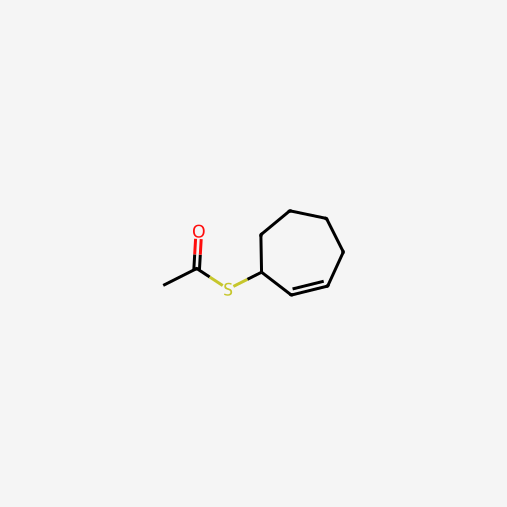 CC(=O)SC1C=CCCCC1